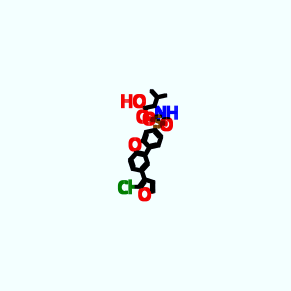 CC(C)[C@H](NS(=O)(=O)c1ccc2c(c1)oc1ccc(-c3ccoc3Cl)cc12)C(=O)O